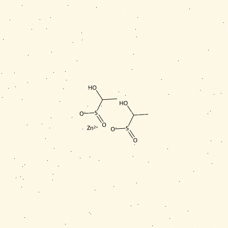 CC(O)S(=O)[O-].CC(O)S(=O)[O-].[Zn+2]